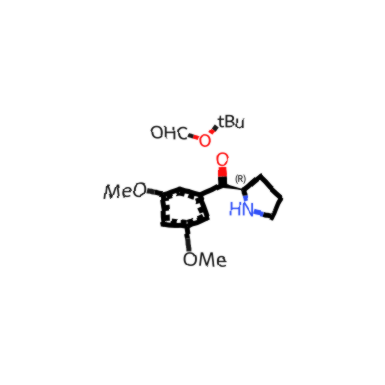 CC(C)(C)OC=O.COc1cc(OC)cc(C(=O)[C@H]2CCCN2)c1